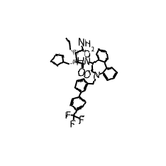 CCC[C@H](C(N)=O)[C@@H](CC1CCCC1)C(=O)NC1C(=O)N(Cc2cccc(-c3ccc(C(F)(F)F)cc3)c2)c2ccccc2-c2ccccc21